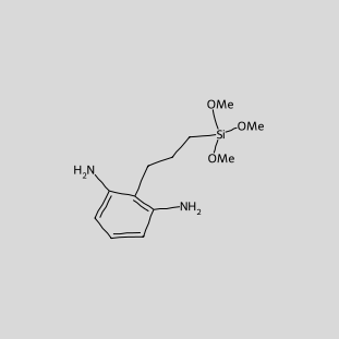 CO[Si](CCCc1c(N)cccc1N)(OC)OC